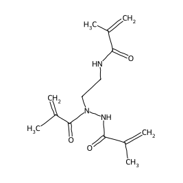 C=C(C)C(=O)NCCN(NC(=O)C(=C)C)C(=O)C(=C)C